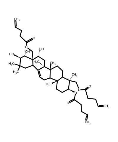 C=CCCC(=O)OC[C@@]12C(CC(C)(C)[C@@H](O)[C@@H]1O)C1=CCC3[C@@]4(C)CC[C@H](OC(=O)CCC=C)[C@](C)(COC(=O)CCC=C)C4CC[C@@]3(C)[C@]1(C)C[C@H]2O